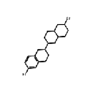 CCc1ccc2c(c1)CCC(C1CCC3CC(CC)CCC3C1)C2